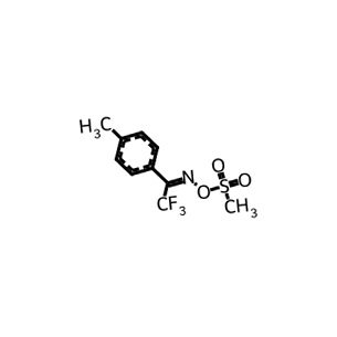 Cc1ccc(C(=NOS(C)(=O)=O)C(F)(F)F)cc1